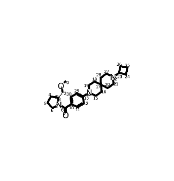 COC[C@H]1CCCN1C(=O)c1ccc(N2CCC3(CC2)CCN(C2CCC2)CC3)cc1